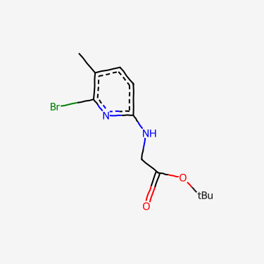 Cc1ccc(NCC(=O)OC(C)(C)C)nc1Br